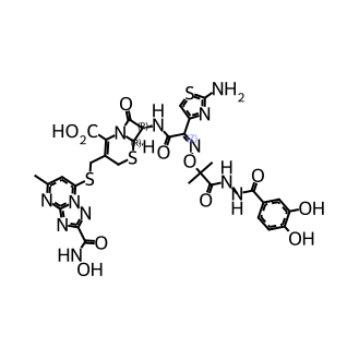 Cc1cc(SCC2=C(C(=O)O)N3C(=O)[C@@H](NC(=O)/C(=N\OC(C)(C)C(=O)NNC(=O)c4ccc(O)c(O)c4)c4csc(N)n4)[C@H]3SC2)n2nc(C(=O)NO)nc2n1